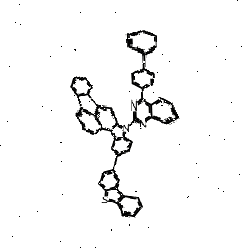 c1ccc(-c2ccc(-c3nc(-n4c5ccc(-c6ccc7sc8ccccc8c7c6)cc5c5c6cccc7c6c(cc54)-c4ccccc4-7)nc4ccccc34)cc2)cc1